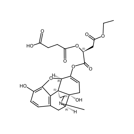 CCOC(=O)C[C@H](OC(=O)CCC(=O)O)C(=O)OC1=CC[C@@]2(O)[C@H]3Cc4ccc(O)c5c4[C@@]2(CCN3C)[C@H]1O5